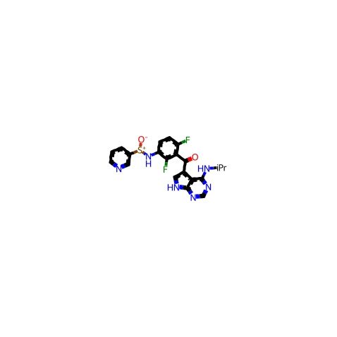 CC(C)Nc1ncnc2[nH]cc(C(=O)c3c(F)ccc(N[S+]([O-])c4cccnc4)c3F)c12